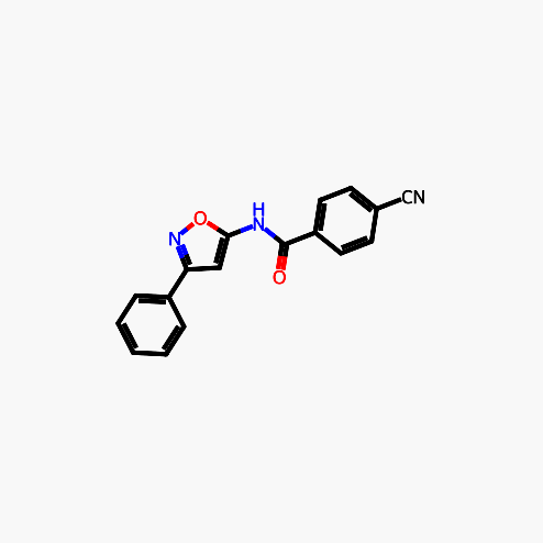 N#Cc1ccc(C(=O)Nc2cc(-c3ccccc3)no2)cc1